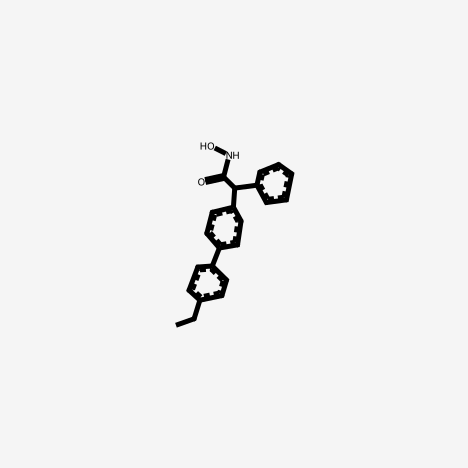 CCc1ccc(-c2ccc(C(C(=O)NO)c3ccccc3)cc2)cc1